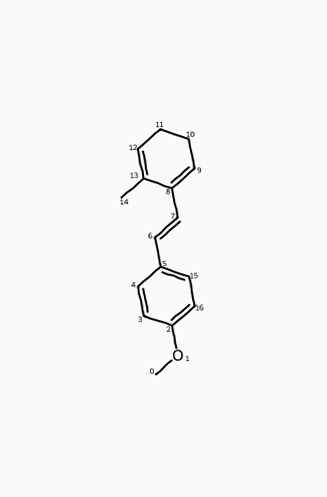 COc1ccc(/C=C/C2=CCCC=C2C)cc1